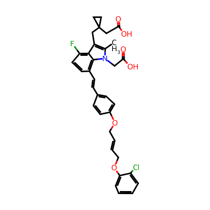 Cc1c(CC2(CC(=O)O)CC2)c2c(F)ccc(C=Cc3ccc(OCC=CCOc4ccccc4Cl)cc3)c2n1CC(=O)O